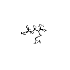 CCOC(C(=O)O)C(=O)OC(=O)O